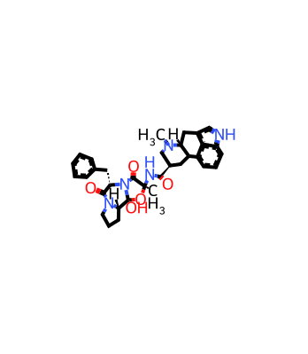 CN1C[C@H](C(=O)N[C@@]2(C)O[C@@]3(O)[C@@H]4CCCN4C(=O)[C@H](Cc4ccccc4)N3C2=O)CC2c3cccc4[nH]cc(c34)C[C@H]21